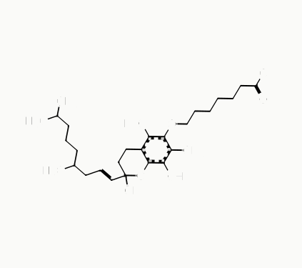 Cc1c(C)c2c(c(C)c1OCCCCCCC(=O)O)CCC(C)(C=CCC(C)CCCC(C)C)O2